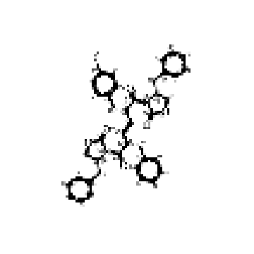 O=C1OC[C@H](Cc2ccccc2)N1C(=O)[C@H](C=C[C@H](Cc1ccc(F)cc1)C(=O)N1C(=O)OC[C@@H]1Cc1ccccc1)Cc1ccccc1